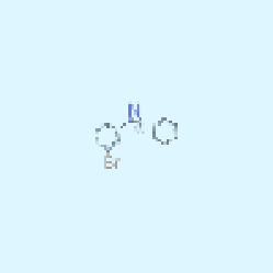 Brc1cccc(C2=N[C@@H]2c2ccccc2)c1